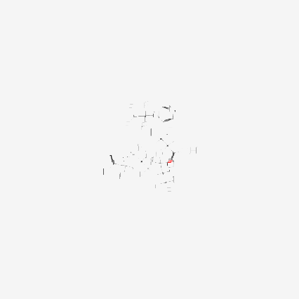 C=C(F)C(F)(F)OC(F)(C(F)(F)F)C(F)(F)OC(F)(C(F)(F)F)C(F)(F)OC(F)(C(=O)O)C(F)(F)F.FC(F)C(F)(F)n1ccnc1